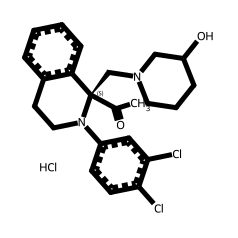 CC(=O)[C@@]1(CN2CCCC(O)C2)c2ccccc2CCN1c1ccc(Cl)c(Cl)c1.Cl